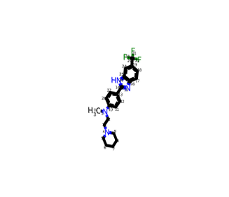 CN(CCN1CCCCC1)c1ccc(-c2nc3ccc(C(F)(F)F)cc3[nH]2)cc1